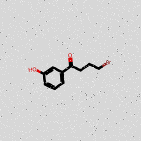 O=C(CCCBr)c1cccc(O)c1